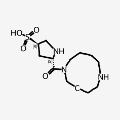 O=C([C@@H]1C[C@@H](S(=O)(=O)O)CN1)N1CCCCNCCCC1